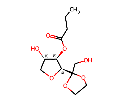 CCCC(=O)O[C@@H]1[C@@H](O)CO[C@@H]1C1(CO)OCCO1